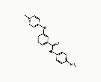 C[n+]1ccc(Nc2cccc(C(=O)Nc3ccc(N)cc3)c2)cc1